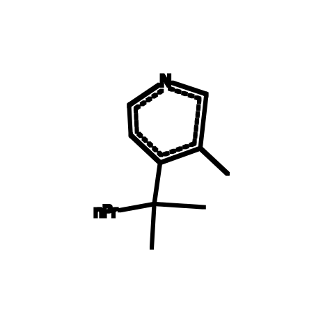 CCCC(C)(C)c1ccncc1C